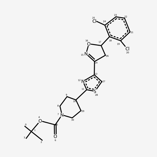 CC(C)(C)OC(=O)N1CCC(c2nc(C3=NOC(c4c(Cl)cccc4Cl)C3)cs2)CC1